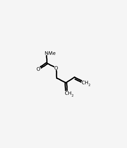 C=CC(=C)COC(=O)NC